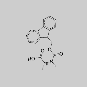 C[C@H](C(=O)O)N(C)C(=O)OCC1c2ccccc2-c2ccccc21